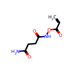 C=CC(=O)ONC(=O)CCC(N)=O